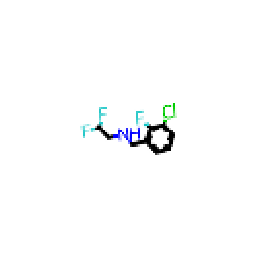 Fc1c(Cl)cccc1CNCC(F)F